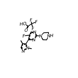 Cc1cnn(C)c1-c1nc(N2CCNCC2)ncc1F.O=C(O)C(F)(F)F